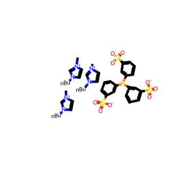 CCCCn1cc[n+](C)c1.CCCCn1cc[n+](C)c1.CCCCn1cc[n+](C)c1.O=S(=O)([O-])c1cccc(P(c2cccc(S(=O)(=O)[O-])c2)c2cccc(S(=O)(=O)[O-])c2)c1